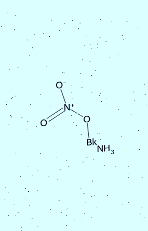 N.O=[N+]([O-])[O][Bk]